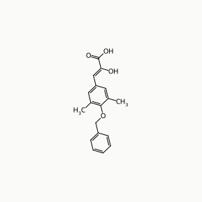 Cc1cc(C=C(O)C(=O)O)cc(C)c1OCc1ccccc1